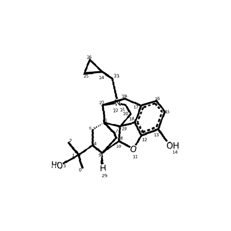 CC(C)(O)C1C[C@@]23CC[C@@H]1C1Oc4c(O)ccc5c4C12CCN(CC1CC1)C3C5